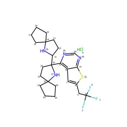 Cl.FC(F)(F)Cc1cc2c(C3(C4CCC5(CCCC5)N4)CCC4(CCCC4)N3)ncnc2s1